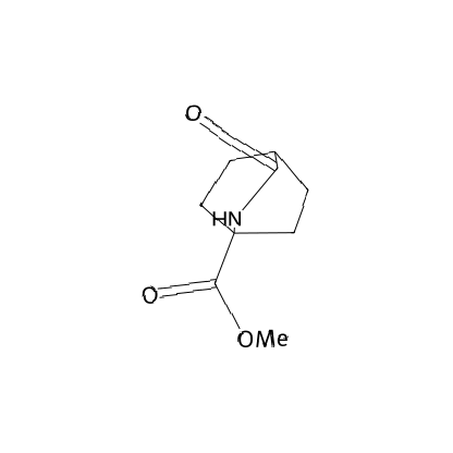 COC(=O)C12CCC(CC1)C(=O)N2